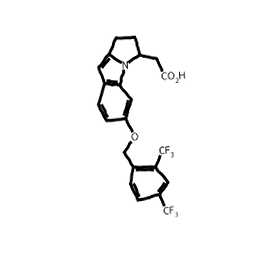 O=C(O)CC1CCc2cc3ccc(OCc4ccc(C(F)(F)F)cc4C(F)(F)F)cc3n21